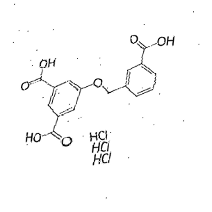 Cl.Cl.Cl.O=C(O)c1cccc(COc2cc(C(=O)O)cc(C(=O)O)c2)c1